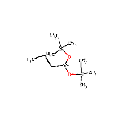 CCC[SiH](O[Si](C)(C)C)O[Si](C)(C)C